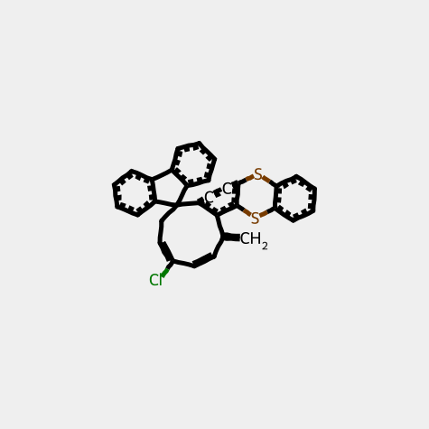 C=C1/C=C\C(Cl)=C/CC2(c3ccccc3-c3ccccc32)c2ccc3c(c21)Sc1ccccc1S3